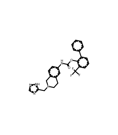 O=C(Nc1ccc2c(c1)CCN(Cc1ncn[nH]1)C2)Oc1c(-c2ccccc2)cccc1C(F)(F)F